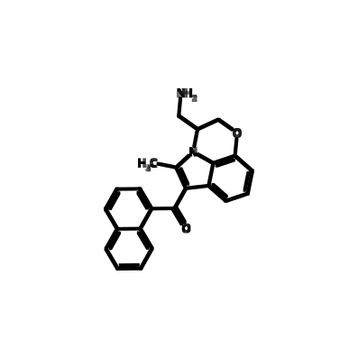 Cc1c(C(=O)c2cccc3ccccc23)c2cccc3c2n1C(CN)CO3